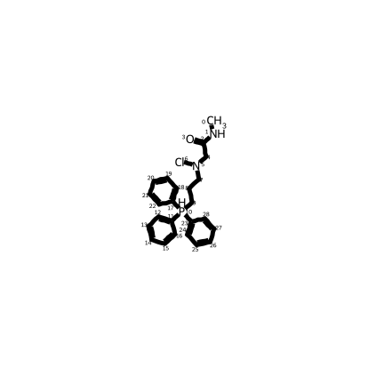 CNC(=O)CN(Cl)CCC[PH](c1ccccc1)(c1ccccc1)c1ccccc1